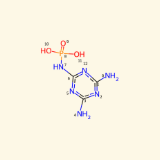 Nc1nc(N)nc(NP(=O)(O)O)n1